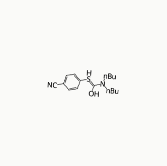 CCCCN(CCCC)C(O)=[SH]c1ccc(C#N)cc1